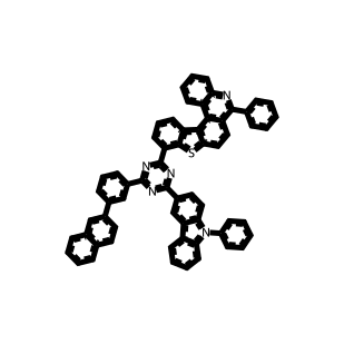 c1ccc(-c2nc3ccccc3c3c2ccc2sc4c(-c5nc(-c6cccc(-c7ccc8ccccc8c7)c6)nc(-c6ccc7c(c6)c6ccccc6n7-c6ccccc6)n5)cccc4c23)cc1